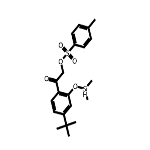 Cc1ccc(S(=O)(=O)OCC(=O)c2ccc(C(C)(C)C)cc2O[SiH](C)C)cc1